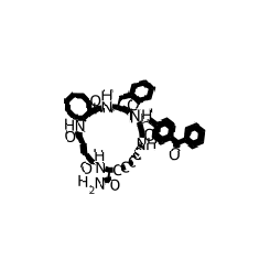 NC(=O)[C@@H]1CCCCNC(=O)[C@@H](Cc2ccc(C(=O)c3ccccc3)cc2)NC(=O)[C@H](CC2CCCCC2)NC(=O)[C@H]2CCCCCCC2NC(=O)/C=C/C(=O)N1